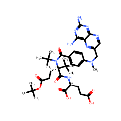 CN(Cc1cnc2nc(N)nc(N)c2n1)c1ccc(C(=O)N(C(C)(C)C)[C@](CCC(=O)OC(C)(C)C)(C(=O)N[C@@H](CCC(=O)O)C(=O)O)C(C)(C)C)cc1